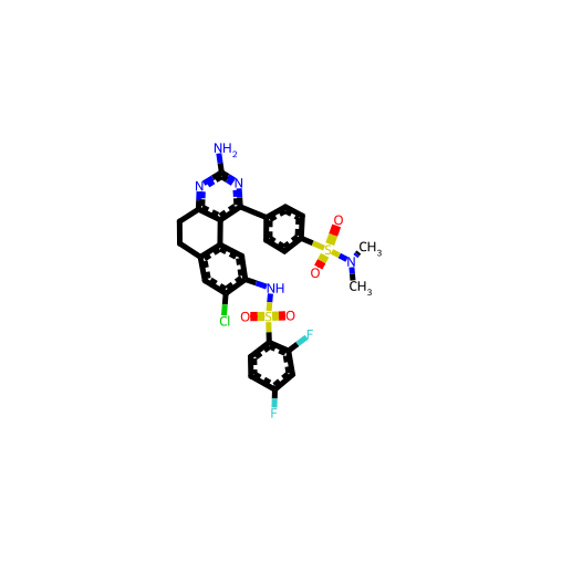 CN(C)S(=O)(=O)c1ccc(-c2nc(N)nc3c2-c2cc(NS(=O)(=O)c4ccc(F)cc4F)c(Cl)cc2CC3)cc1